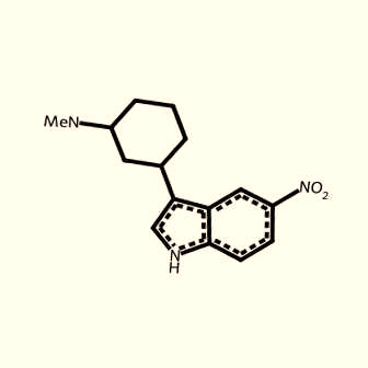 CNC1CCCC(c2c[nH]c3ccc([N+](=O)[O-])cc23)C1